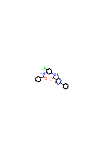 Cc1nc(-c2ccccc2)ncc1C(=O)Nc1ccc(Cl)c(NC(=O)c2ccccc2)c1